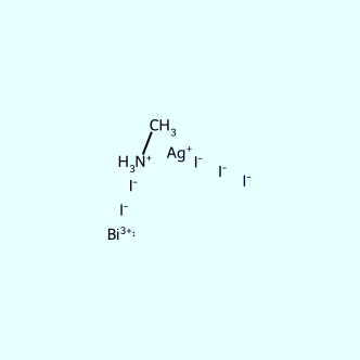 C[NH3+].[Ag+].[Bi+3].[I-].[I-].[I-].[I-].[I-]